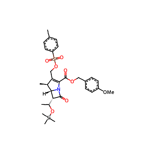 COc1ccc(COC(=O)C2=C(COS(=O)(=O)c3ccc(C)cc3)[C@H](C)[C@H]3[C@@H](C(C)O[Si](C)(C)C)C(=O)N23)cc1